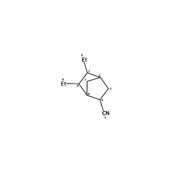 CCC1C2CC(C#N)C(C2)C1CC